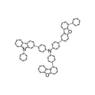 c1ccc(-c2cccc3c2oc2ccc(-c4ccc(N(c5ccc(-c6ccc7c8ccccc8n(-c8ccccc8)c7c6)cc5)c5ccc(-c6cccc7oc8ccccc8c67)cc5)cc4)cc23)cc1